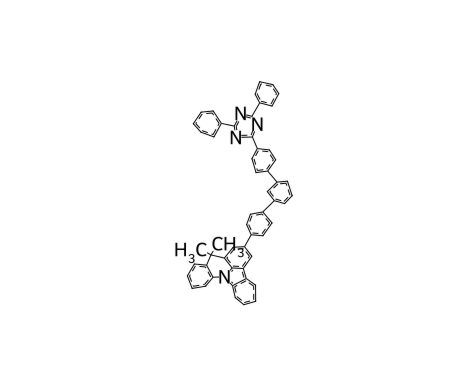 CC1(C)c2ccccc2-n2c3ccccc3c3cc(-c4ccc(-c5cccc(-c6ccc(-c7nc(-c8ccccc8)nc(-c8ccccc8)n7)cc6)c5)cc4)cc1c32